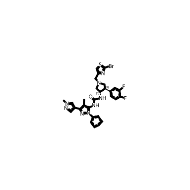 Cc1c(-c2cnn(C)c2)nn(-c2ccccc2)c1NC(=O)N[C@@H]1CN(Cc2csc(Br)n2)C[C@H]1c1ccc(F)c(F)c1